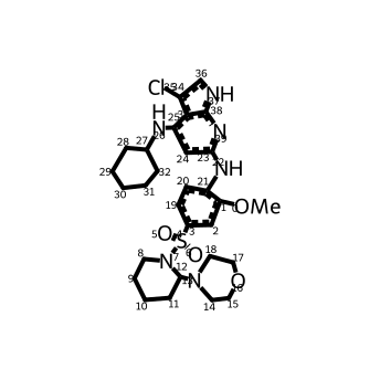 COc1cc(S(=O)(=O)N2CCCCC2N2CCOCC2)ccc1Nc1cc(NC2CCCCC2)c2c(Cl)c[nH]c2n1